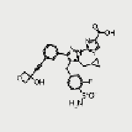 N[S+]([O-])c1ccc(Cc2c(-c3cccc(C#CC4(O)COC4)c3)nn(-c3nc(C(=O)O)cs3)c2CC2CC2)cc1F